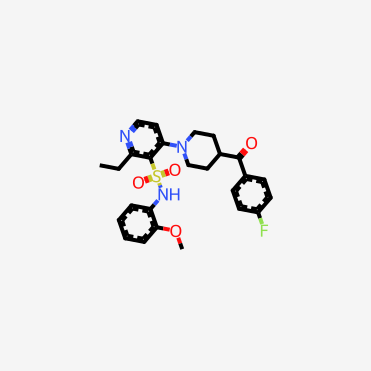 CCc1nccc(N2CCC(C(=O)c3ccc(F)cc3)CC2)c1S(=O)(=O)Nc1ccccc1OC